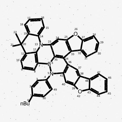 CCCCc1ccc(N2B3c4cccc5c4N(c4ccccc4C5(C)C)c4cc5oc6ccccc6c5c(c43)-c3cc4c(cc32)oc2ccccc24)cc1